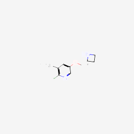 CC(=O)Nc1cc(OC[C@H]2CCN2)cnc1Cl